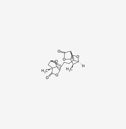 C[C@H]1C2=C3O[C@@H]1C(CCc1c4oc5c1OC(=O)[C@]5(C)C4)=C3C(=O)O2